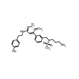 C=N/C(=C\C(=N/C)NCCc1ccc(O)cc1)c1cccc(CN(CCCN)S(C)(=O)=O)c1